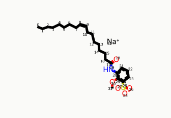 CCCCCCCC/C=C\CCCCCCCC(=O)Nc1cccc(S(=O)(=O)[O-])c1OC.[Na+]